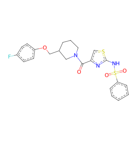 O=C(c1csc(NS(=O)(=O)c2ccccc2)n1)N1CCCC(COc2ccc(F)cc2)C1